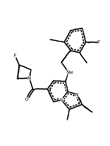 Cc1ccc(F)c(C)c1CNc1cc(C(=O)N2CC(F)C2)cn2c(C)c(C)nc12